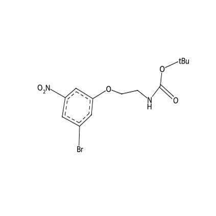 CC(C)(C)OC(=O)NCCOc1cc(Br)cc([N+](=O)[O-])c1